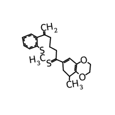 C=C(CCCC(=S)C1=CC2=C(OCCO2)C(C)C1)c1ccccc1SC